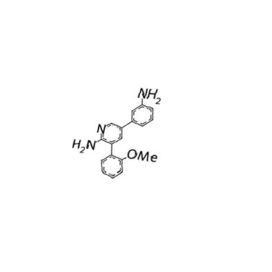 COc1ccccc1-c1cc(-c2cccc(N)c2)cnc1N